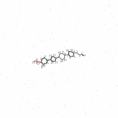 C=CCCc1ccc(C2CCC(c3ccc(-c4ccc(OCC)c(F)c4)cc3)CC2)cc1